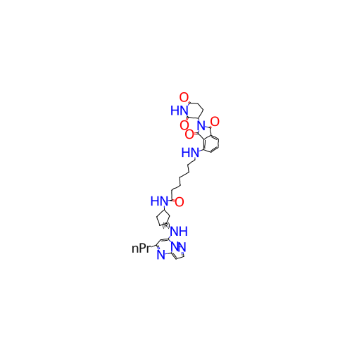 CCCc1cc(N[C@@H]2CCC(NC(=O)CCCCCCNc3cccc4c3C(=O)N(C3CCC(=O)NC3=O)C4=O)C2)n2nccc2n1